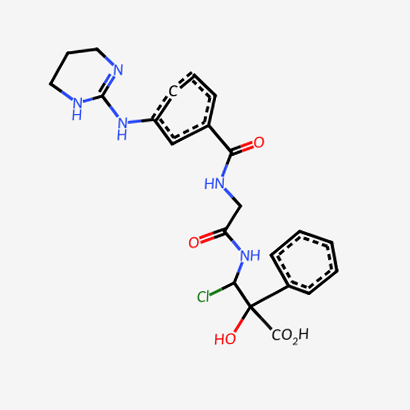 O=C(CNC(=O)c1cccc(NC2=NCCCN2)c1)NC(Cl)C(O)(C(=O)O)c1ccccc1